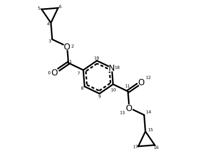 O=C(OCC1CC1)c1ccc(C(=O)OCC2CC2)nc1